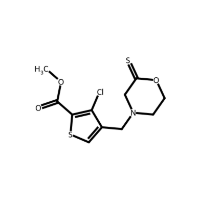 COC(=O)c1scc(CN2CCOC(=S)C2)c1Cl